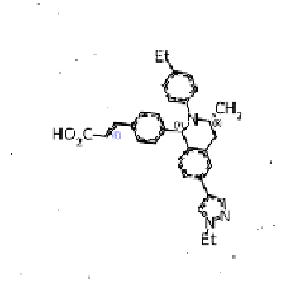 CCc1ccc(N2[C@H](c3ccc(/C=C/C(=O)O)cc3)c3ccc(-c4cnn(CC)c4)cc3C[C@H]2C)cc1